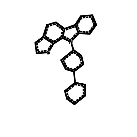 c1ccc(-c2ccc(-n3c4ccccc4c4ccc5ccsc5c43)cc2)cc1